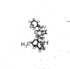 Cc1cc(S(=O)(=O)N2CC[C@H]2C(=O)N[C@@H]2CCCOC2)c2[nH]ncc2c1